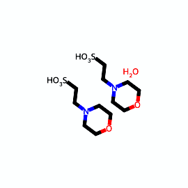 O.O=S(=O)(O)CCN1CCOCC1.O=S(=O)(O)CCN1CCOCC1